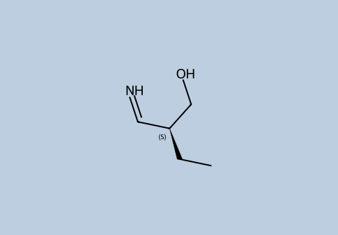 CC[C@@H](C=N)CO